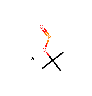 CC(C)(C)OP=O.[La]